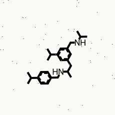 CC(C)NCc1cc(CC(C)NCc2ccc(C(C)C)cc2)cc(C(C)C)c1